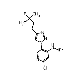 CC(C)Nc1cc(Cl)ncc1-n1cc(CCC(C)(C)F)nn1